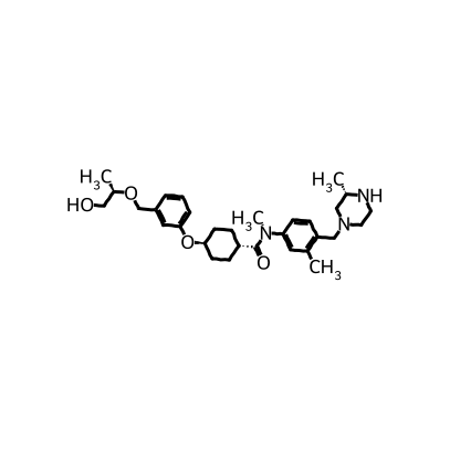 Cc1cc(N(C)C(=O)[C@H]2CC[C@H](Oc3cccc(CO[C@H](C)CO)c3)CC2)ccc1CN1CCN[C@@H](C)C1